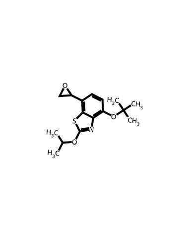 CC(C)Oc1nc2c(OC(C)(C)C)ccc(C3CO3)c2s1